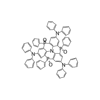 O=P1(c2ccccc2)c2cc(N(c3ccccc3)c3ccccc3)cc3c2N2c4c1cc(N(c1ccccc1)c1ccccc1)cc4P(=O)(c1ccccc1)c1cc(N(c4ccccc4)c4ccccc4)cc(c12)P3(=O)c1ccccc1